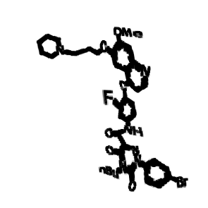 CCCCn1c(=O)c(C(=O)Nc2ccc(Oc3ccnc4cc(OC)c(OCCCN5CCCCC5)cc34)c(F)c2)nn(-c2ccc(Br)cc2)c1=O